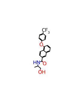 CC(CO)NC(=O)c1ccc2c(Oc3ccc(C(F)(F)F)cc3)cccc2c1